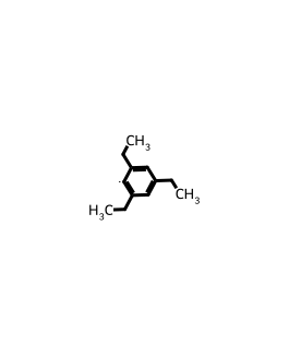 CCc1[c]c(CC)cc(CC)c1